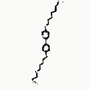 CCC=CCCCCOc1ccc(-c2ccc(CCCCCOCCC)cc2)nc1